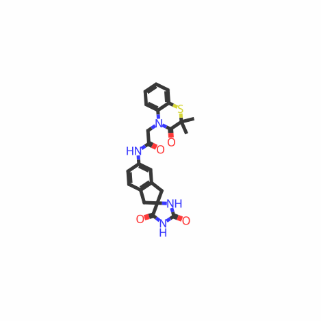 CC1(C)Sc2ccccc2N(CC(=O)Nc2ccc3c(c2)CC2(C3)NC(=O)NC2=O)C1=O